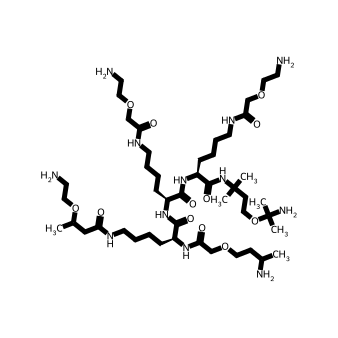 CC(N)CCOCC(=O)N[C@@H](CCCCNC(=O)CC(C)OCCN)C(=O)N[C@@H](CCCCNC(=O)COCCN)C(=O)N[C@@H](CCCCNC(=O)COCCN)C(=O)NC(C)(C)CCOC(C)(C)N